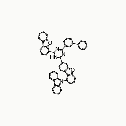 c1ccc(-c2cccc(C3=NC(c4cccc5c4oc4ccccc45)NC(c4ccc5c(c4)oc4cccc(-n6c7ccccc7c7ccccc76)c45)=N3)c2)cc1